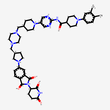 N#Cc1ccc(N2CCC(C(=O)Nc3ncc(N4CCC(CN5CCN(C[C@H]6CCN(c7ccc8c(c7)C(=O)N(C7CCC(=O)NC7=O)C8=O)C6)CC5)CC4)cn3)CC2)cc1C(F)(F)F